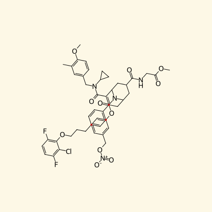 COC(=O)CNC(=O)C1CC2CC(c3ccc(CCCOc4c(F)ccc(F)c4Cl)cc3)=C(C(=O)N(Cc3ccc(OC)c(C)c3)C3CC3)C(C1)N2C(=O)Oc1cccc(CO[N+](=O)[O-])c1